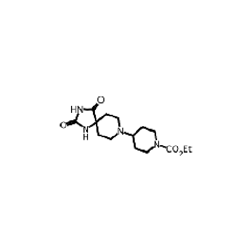 CCOC(=O)N1CCC(N2CCC3(CC2)NC(=O)NC3=O)CC1